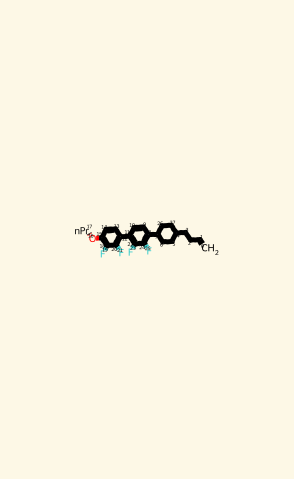 C=CCCC1CCC(c2ccc(-c3ccc(OCCC)c(F)c3F)c(F)c2F)CC1